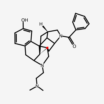 CN(C)CCN1CCC23c4cc(O)ccc4CC1[C@@]21CCC2C3[C@@H](CN2C(=O)c2ccccc2)C1